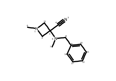 CN1CC(C#N)(N(C)Cc2ccccc2)C1